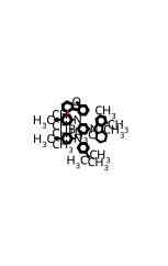 Cc1cc(C)c2c(c1)N(c1cc3c4c(c1)N(c1cccc5oc6ccccc6c15)c1ccc(C(C)(C)C)cc1B4c1cc(C(C)(C)C)ccc1N3c1ccc(C(C)(C)C)cc1)C1(C)CCCCC21C